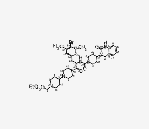 CCOC(=O)CN1CCC(N2CCN(C(=O)C(Cc3cc(C)c(Br)c(C)c3)NC(=O)N3CCC(N4Cc5ccccc5NC4=O)CC3)CC2)CC1